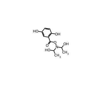 CC(O)N(OC(=O)c1cc(O)ccc1O)C(C)O